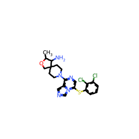 CC1OCC2(CCN(c3ncc(Sc4cccc(Cl)c4Cl)n4cncc34)CC2)C1N